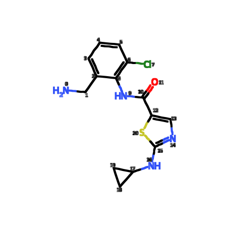 NCc1cccc(Cl)c1NC(=O)c1cnc(NC2CC2)s1